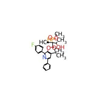 C#CC(C(=O)Oc1c(C(C)C)cc(-c2ccccc2)nc1-c1ccc(F)cc1)(C(C)O)[PH](=O)OC